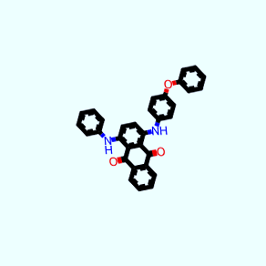 O=C1c2ccccc2C(=O)c2c(Nc3ccc(Oc4ccccc4)cc3)ccc(Nc3ccccc3)c21